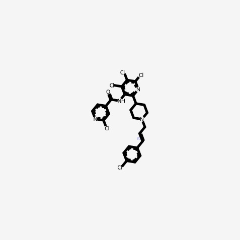 O=C(Nc1c(C2CCN(C/C=C/c3ccc(Cl)cc3)CC2)nc(Cl)c(Cl)c1Cl)c1ccnc(Cl)c1